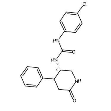 O=C1CC(c2ccccc2)[C@H](NC(=O)Nc2ccc(Cl)cc2)CN1